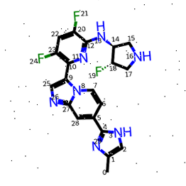 Cc1c[nH]c(-c2ccn3c(-c4nc(N[C@H]5CNC[C@@H]5F)c(F)cc4F)cnc3c2)n1